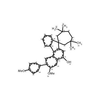 COc1ccc(-c2cc3c4c(cc(O)c3cc2OC)C2(CC(C)(C)CCC(C)(C)C2)c2ccccc2-4)cc1